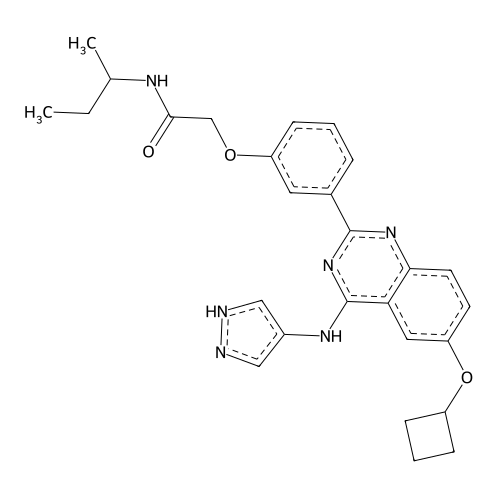 CCC(C)NC(=O)COc1cccc(-c2nc(Nc3cn[nH]c3)c3cc(OC4CCC4)ccc3n2)c1